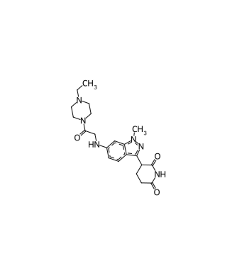 CCN1CCN(C(=O)CNc2ccc3c(C4CCC(=O)NC4=O)nn(C)c3c2)CC1